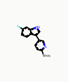 CC(=O)Nc1ccc(-c2c[nH]c3cc(F)ccc23)cn1